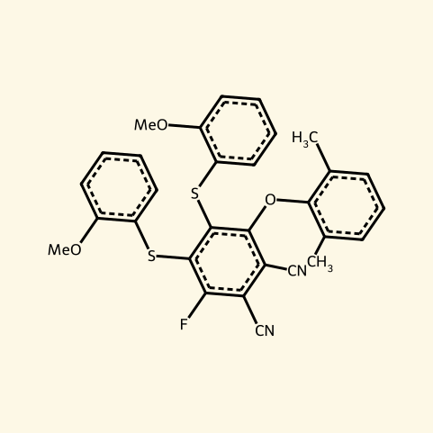 COc1ccccc1Sc1c(F)c(C#N)c(C#N)c(Oc2c(C)cccc2C)c1Sc1ccccc1OC